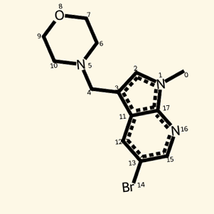 Cn1cc(CN2CCOCC2)c2cc(Br)cnc21